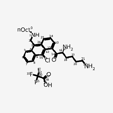 CCCCCCCCNCc1c2ccccc2c(Cl)c2c(C(=O)[C@@H](N)CCCCN)cccc12.O=C(O)C(F)(F)F